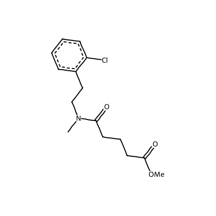 COC(=O)CCCC(=O)N(C)CCc1ccccc1Cl